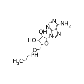 CCCPOC[C@H]1O[C@@H](n2cnc3c(N)ncnc32)C(O)C1O